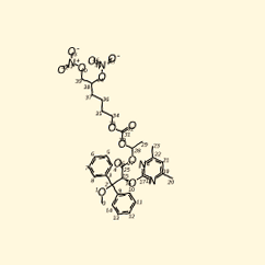 COC(c1ccccc1)(c1ccccc1)[C@H](Oc1nc(C)cc(C)n1)C(=O)OC(C)OC(=O)OCCCCC(CO[N+](=O)[O-])O[N+](=O)[O-]